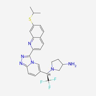 CC(C)Sc1ccc2ccc(-c3nnc4ccc([C@@H](N5CCC(N)C5)C(F)(F)F)cn34)nc2c1